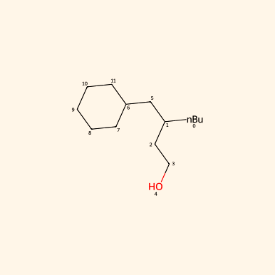 CCCCC(CCO)CC1CCCCC1